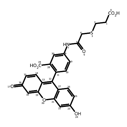 O=C(O)CCSCC(=O)Nc1ccc(-c2c3ccc(=O)cc-3oc3cc(O)ccc23)c(C(=O)O)c1